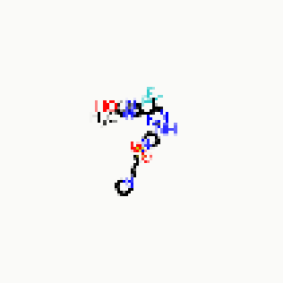 CC(C)(O)Cn1cc(-c2nc(NC3CCN(S(=O)(=O)CCCCN4CCCCC4)CC3)ncc2C(F)(F)F)cn1